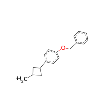 [CH2]C1CC(c2ccc(OCc3ccccc3)cc2)C1